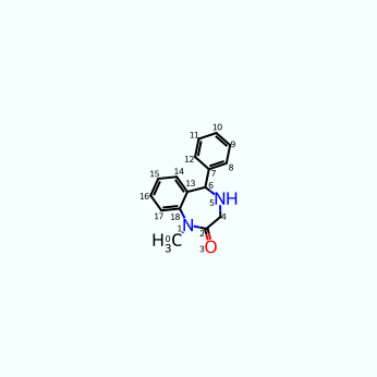 CN1C(=O)CNC(c2ccccc2)c2ccccc21